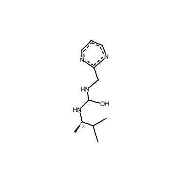 CC(C)[C@@H](C)NC(O)NCc1ncccn1